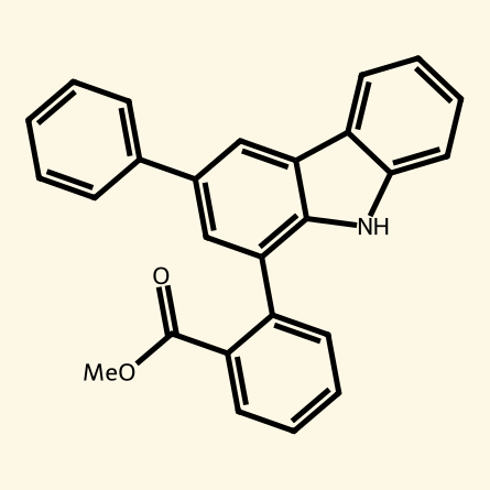 COC(=O)c1ccccc1-c1cc(-c2ccccc2)cc2c1[nH]c1ccccc12